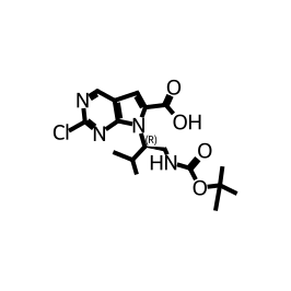 CC(C)[C@H](CNC(=O)OC(C)(C)C)n1c(C(=O)O)cc2cnc(Cl)nc21